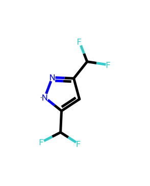 FC(F)C1=CC(C(F)F)=N[N]1